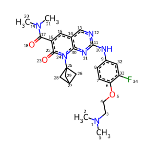 CN(C)CCOc1ccc(Nc2ncc3cc(C(=O)N(C)C)c(=O)n(C45CC(C4)C5)c3n2)cc1F